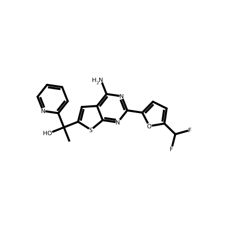 CC(O)(c1ccccn1)c1cc2c(N)nc(-c3ccc(C(F)F)o3)nc2s1